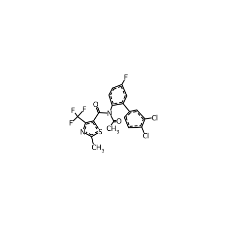 CC(=O)N(C(=O)c1sc(C)nc1C(F)(F)F)c1ccc(F)cc1-c1ccc(Cl)c(Cl)c1